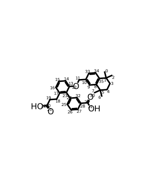 CC1(C)CCC(C)(C)c2cc(COc3cccc(CCC(=O)O)c3-c3cccc(C(=O)O)c3)ccc21